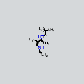 C=CN/C=C(/C)C(=C)NCC(=C)C